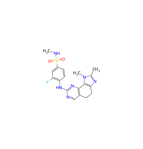 CNS(=O)(=O)c1ccc(Nc2ncc3c(n2)-c2c(nc(C)n2C)CC3)c(F)c1